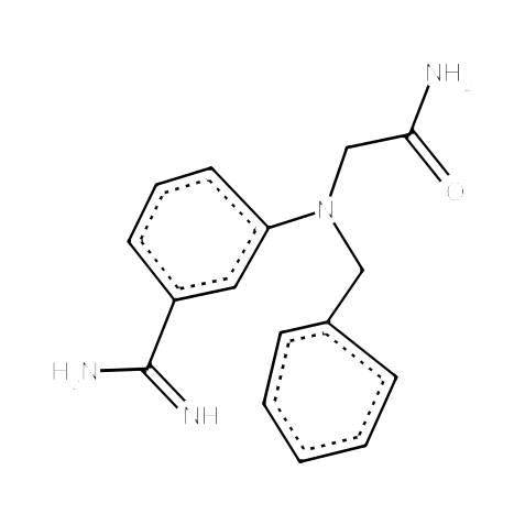 N=C(N)c1cccc(N(CC(N)=O)Cc2ccccc2)c1